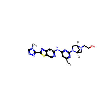 Cc1cc(Nc2cc3nc(-c4nncn4C)sc3cn2)nc(N2C[C@@H]3C[C@H]2CN3CCO)n1